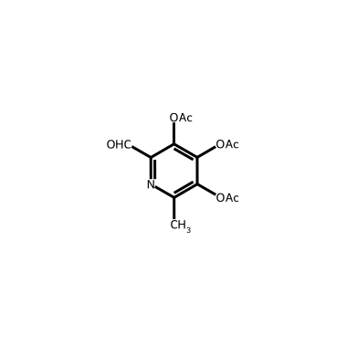 CC(=O)Oc1c(C)nc(C=O)c(OC(C)=O)c1OC(C)=O